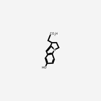 O=C(O)CC1CCn2c1cc1cc(O)ccc12